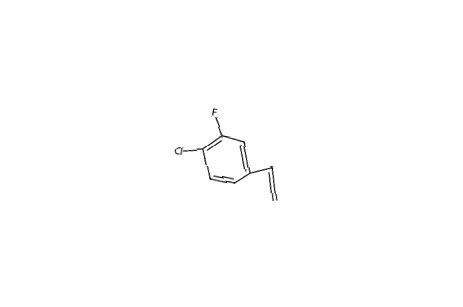 C=Cc1ccc(Cl)c(F)c1